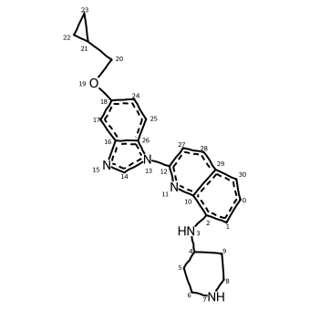 c1cc(NC2CCNCC2)c2nc(-n3cnc4cc(OCC5CC5)ccc43)ccc2c1